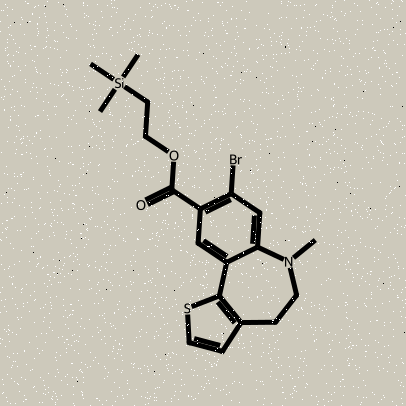 CN1CCc2ccsc2-c2cc(C(=O)OCC[Si](C)(C)C)c(Br)cc21